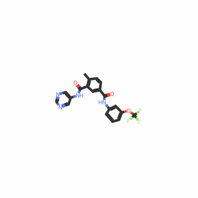 Cc1ccc(C(=O)Nc2cccc(OC(F)(F)F)c2)cc1C(=O)Nc1cncnc1